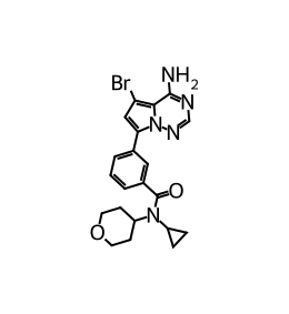 Nc1ncnn2c(-c3cccc(C(=O)N(C4CCOCC4)C4CC4)c3)cc(Br)c12